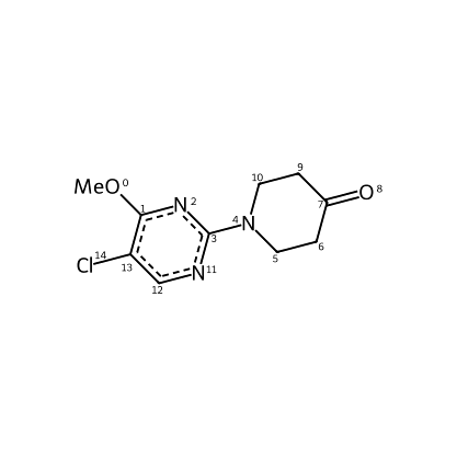 COc1nc(N2CCC(=O)CC2)ncc1Cl